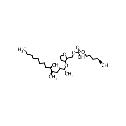 C#CCCCCOP(=O)(O)OCC1OCCC1O[C@H](C)CCC(=C)C(=C)CCCCCCCC